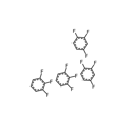 Fc1[c]cc(F)c(F)c1.Fc1[c]ccc(F)c1F.Fc1c[c]c(F)c(F)c1.Fc1c[c]cc(F)c1F